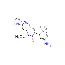 CCn1c(=O)c(-c2cc(N)ccc2C)cc2cnc(NC)cc21